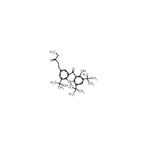 CCC(=O)CCc1cc(C(=O)c2cc(C(C)(C)C)cc(C(C)(C)C)c2O)c(O)c(C(C)(C)C)c1